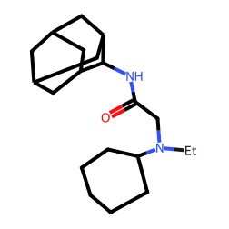 CCN(CC(=O)NC1C2CC3CC(C2)CC1C3)C1CCCCC1